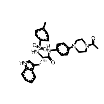 CC(=O)N1CCN(c2ccc(NC(=O)[C@H](Cc3c[nH]c4ccccc34)NS(=O)(=O)c3ccc(C)cc3)cc2)CC1